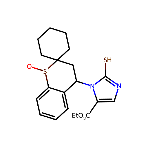 CCOC(=O)c1cnc(S)n1C1CC2(CCCCC2)[S+]([O-])c2ccccc21